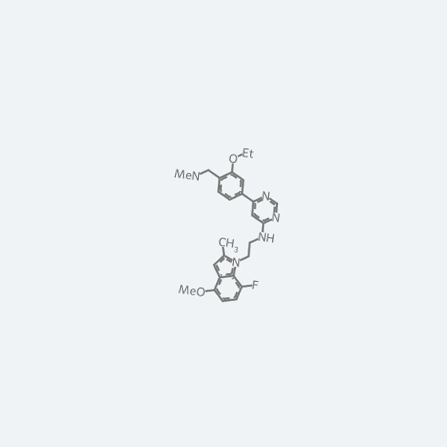 CCOc1cc(-c2cc(NCCn3c(C)cc4c(OC)ccc(F)c43)ncn2)ccc1CNC